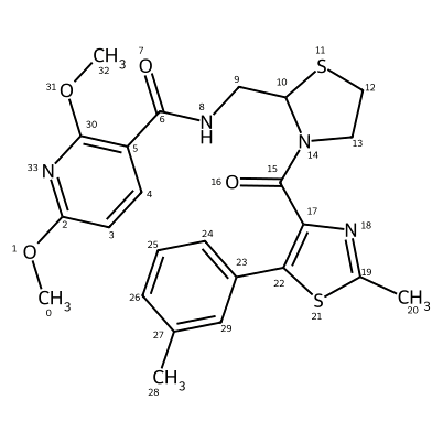 COc1ccc(C(=O)NCC2SCCN2C(=O)c2nc(C)sc2-c2cccc(C)c2)c(OC)n1